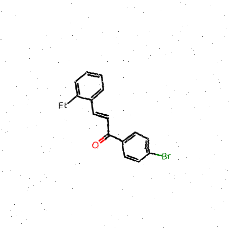 CCc1ccccc1/C=C/C(=O)c1ccc(Br)cc1